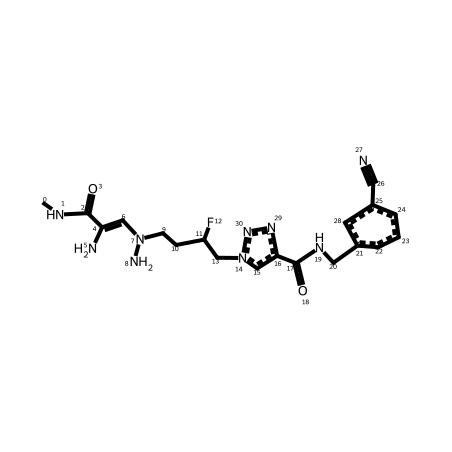 CNC(=O)/C(N)=C/N(N)CCC(F)Cn1cc(C(=O)NCc2cccc(C#N)c2)nn1